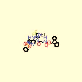 CCN1CCC(Nc2c(NC(=O)CCNC(=O)OCC3c4ccccc4-c4ccccc43)cnc3c2ccn3S(=O)(=O)c2ccccc2)C(F)(F)C1